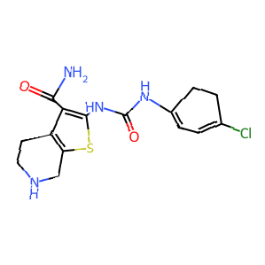 NC(=O)c1c(NC(=O)NC2=CC=C(Cl)CC2)sc2c1CCNC2